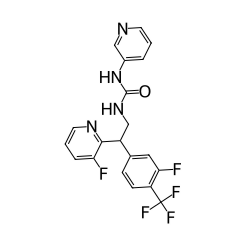 O=C(NCC(c1ccc(C(F)(F)F)c(F)c1)c1ncccc1F)Nc1cccnc1